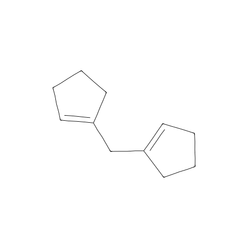 C1=C(CC2=CCCC2)CCC1